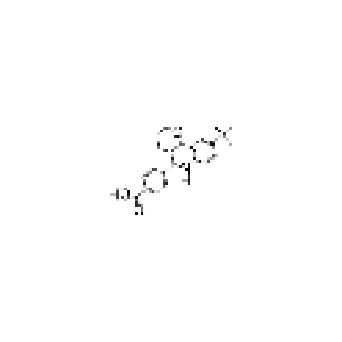 CC(C)(C)c1ccc2c(c1)C1OCCCC1C(c1ccc(C(=O)O)cc1)N2